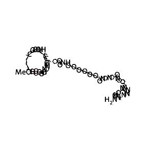 CO[C@H]1C[C@@H]2CCC[C@@](O)(O2)C(=O)C(=O)N2CCCC[C@H]2CO[C@H](CC[C@H]2CC[C@H](OC(=O)NCCOCCOCCOCCOCCOCCOCCC(=O)N3CCC(N4CCC(C(=O)N5CCc6cc(Cn7nc(-c8ccc9oc(N)nc9c8)c8c(N)ncnc87)ccc6C5)CC4)CC3)CC2)CC[C@H](C)/C=C(\C)[C@@H](O)[C@@H](O)C(=O)C(C)C[C@H](C)/C=C/C=C/C=C/1C